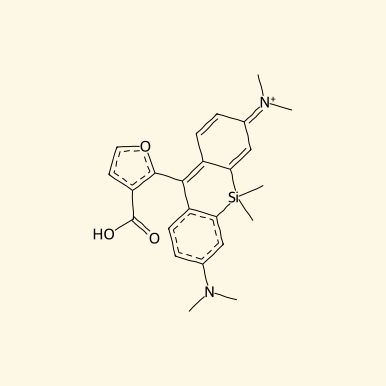 CN(C)c1ccc2c(c1)[Si](C)(C)C1=CC(=[N+](C)C)C=CC1=C2c1occc1C(=O)O